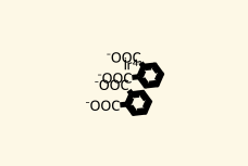 O=C([O-])c1ccccc1C(=O)[O-].O=C([O-])c1ccccc1C(=O)[O-].[Ir+4]